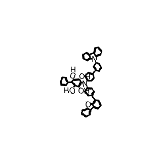 Oc1c(O)c(N(c2ccc(-c3cccc(-n4c5ccccc5c5ccccc54)c3)cc2)c2ccc(-c3cccc4c3oc3ccccc34)cc2)c(O)c(O)c1-c1ccccc1